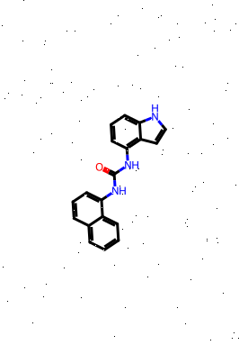 O=C(Nc1cccc2ccccc12)Nc1cccc2[nH]ccc12